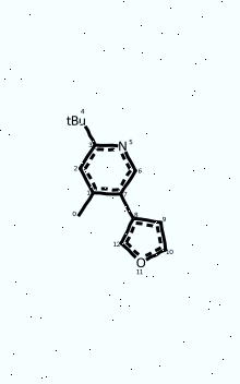 Cc1cc(C(C)(C)C)ncc1-c1ccoc1